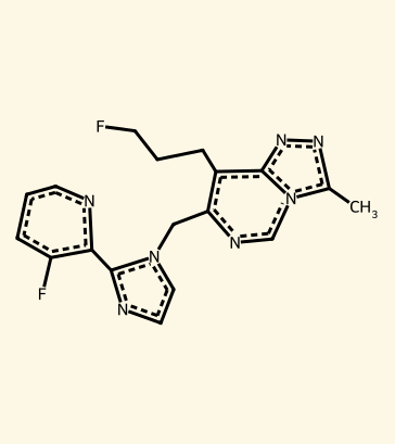 Cc1nnc2c(CCCF)c(Cn3ccnc3-c3ncccc3F)ncn12